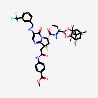 CC[C@H](NC(=O)[C@@H]1C[C@@](C)(CC(=O)Nc2ccc(C(=O)OC)cc2)c2ncc(NCc3cccc(C(F)(F)F)c3)c(=O)n21)B1O[C@@H]2C[C@@H]3C[C@@H](C3(C)C)[C@]2(C)O1